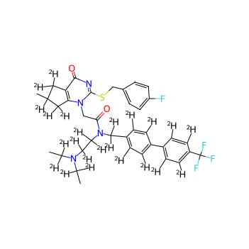 [2H]c1c([2H])c(C(F)(F)F)c([2H])c([2H])c1-c1c([2H])c([2H])c(C([2H])([2H])N(C(=O)Cn2c(SCc3ccc(F)cc3)nc(=O)c3c2C([2H])([2H])C([2H])(C)C3([2H])[2H])C([2H])([2H])C([2H])([2H])N(C([2H])([2H])C)C([2H])([2H])C)c([2H])c1[2H]